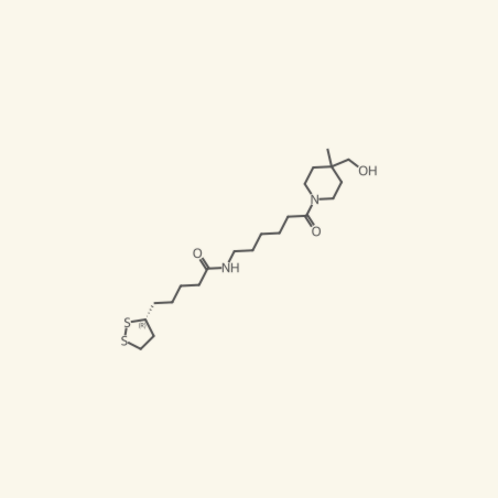 CC1(CO)CCN(C(=O)CCCCCNC(=O)CCCC[C@@H]2CCSS2)CC1